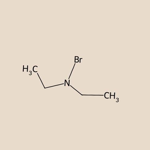 CCN(Br)CC